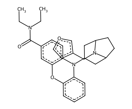 CCN(CC)C(=O)c1ccc2c(c1)Oc1ccccc1N2C1CC2CCC(C1)N2Cc1ccoc1